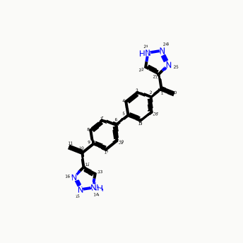 C=C(c1ccc(-c2ccc(C(=C)c3c[nH]nn3)cc2)cc1)c1c[nH]nn1